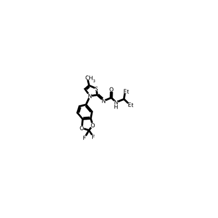 CCC(CC)NC(=O)N=c1sc(C)cn1-c1ccc2c(c1)OC(F)(F)O2